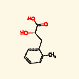 Cc1ccccc1C[C@H](O)C(=O)O